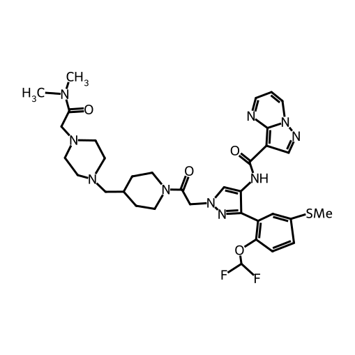 CSc1ccc(OC(F)F)c(-c2nn(CC(=O)N3CCC(CN4CCN(CC(=O)N(C)C)CC4)CC3)cc2NC(=O)c2cnn3cccnc23)c1